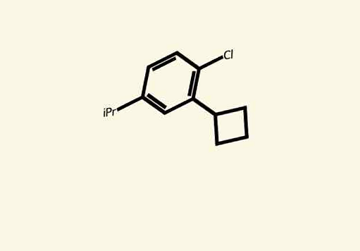 CC(C)c1ccc(Cl)c(C2CCC2)c1